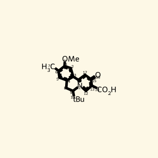 COc1cc2c(cc1C)CC(C(C)(C)C)n1cc(C(=O)O)c(=O)cc1-2